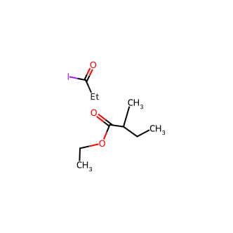 CCC(=O)I.CCOC(=O)C(C)CC